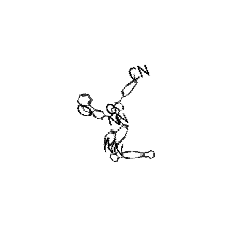 N#Cc1ccc(-c2ccc3c(c2)oc2c(-c4ccc5oc6ccccc6c5c4)nc(-c4ccc(-n5c6ccccc6c6cc7ccccc7cc65)c5ncccc45)nc23)cc1